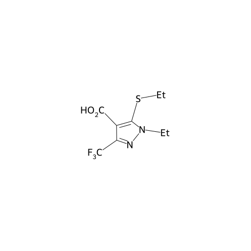 CCSc1c(C(=O)O)c(C(F)(F)F)nn1CC